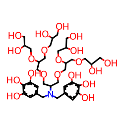 OCC(O)COCC(COCC(COCC(COCC(O)CO)OCC(O)CO)N(Cc1cc(O)c(O)c(O)c1)Cc1cc(O)c(O)c(O)c1)OCC(O)CO